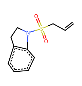 C=CCS(=O)(=O)N1CCc2ccccc21